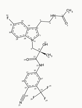 CC(=O)NCCc1cn(C[C@](C)(O)C(=O)Nc2ccc(C#N)c(C(F)(F)F)c2)c2ccc(F)cc12